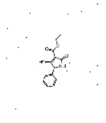 CCOC(=O)C1=C(O)[C@H](c2ccccc2)NC1=O